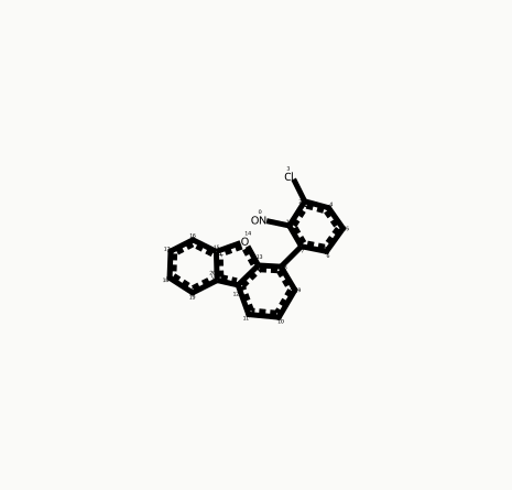 O=Nc1c(Cl)cccc1-c1cccc2c1oc1ccccc12